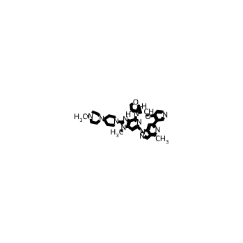 COc1ccncc1-c1cc2c(cnn2-c2cc3c(nc(N4CCC(N5CCN(C)CC5)CC4)n3C)c(N3C[C@H]4C[C@@H]3CO4)n2)c(C)n1